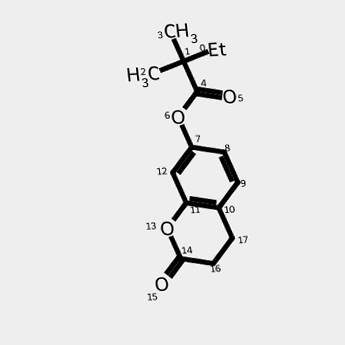 CCC(C)(C)C(=O)Oc1ccc2c(c1)OC(=O)CC2